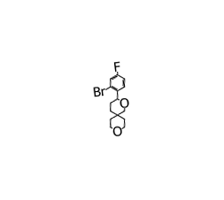 Fc1ccc(C2CCC3(CCOCC3)CO2)c(Br)c1